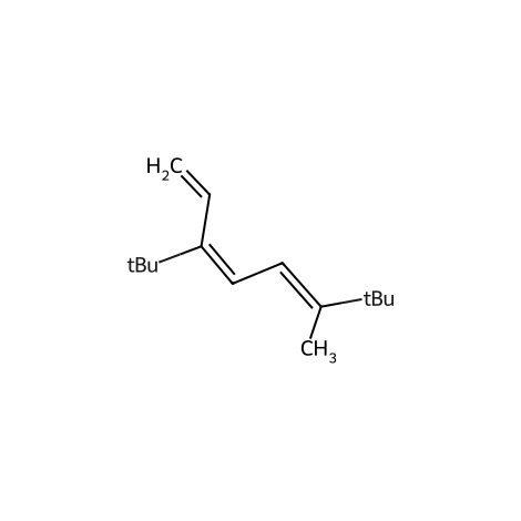 C=C/C(=C\C=C(/C)C(C)(C)C)C(C)(C)C